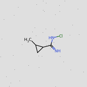 CC1CC1C(=N)NCl